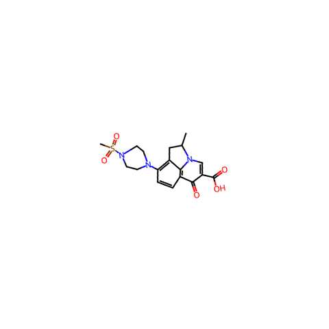 CC1Cc2c(N3CCN(S(C)(=O)=O)CC3)ccc3c(=O)c(C(=O)O)cn1c23